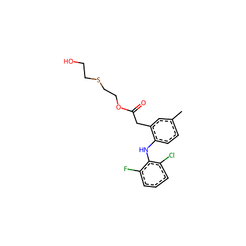 Cc1ccc(Nc2c(F)cccc2Cl)c(CC(=O)OCCSCCO)c1